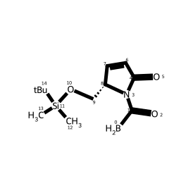 BC(=O)N1C(=O)C=C[C@H]1CO[Si](C)(C)C(C)(C)C